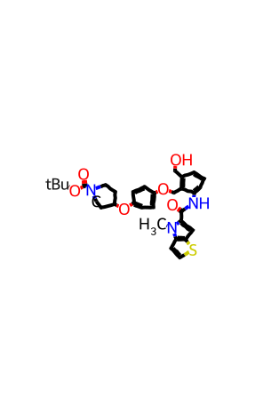 Cn1c(C(=O)Nc2cccc(CO)c2COc2ccc(OC3CCN(C(=O)OC(C)(C)C)CC3)cc2)cc2sccc21